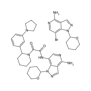 Nc1ncc(Br)c2c1cnn2C1CCCCO1.Nc1ncc(NC(=O)C(=O)N2CCCCC2c2cccc(N3CCCC3)c2)c2c1cnn2C1CCCCO1